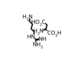 N=C(N)NCCCCN.N[C@@H](CC(=O)O)C(=O)O